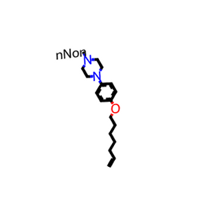 C=CCCCCCOc1ccc(N2CCN(CCCCCCCCC)CC2)cc1